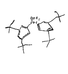 B[PH2](c1cc(C(C)(C)C)cc(C(C)(C)C)c1)c1cc(C(C)(C)C)cc(C(C)(C)C)c1